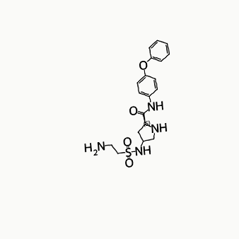 NCCS(=O)(=O)NC1CN[C@H](C(=O)Nc2ccc(Oc3ccccc3)cc2)C1